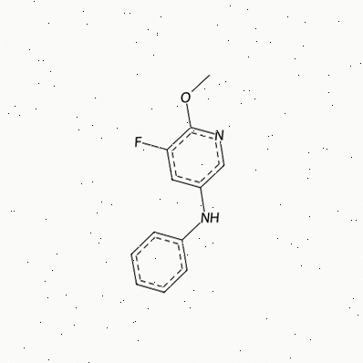 COc1ncc(Nc2ccccc2)cc1F